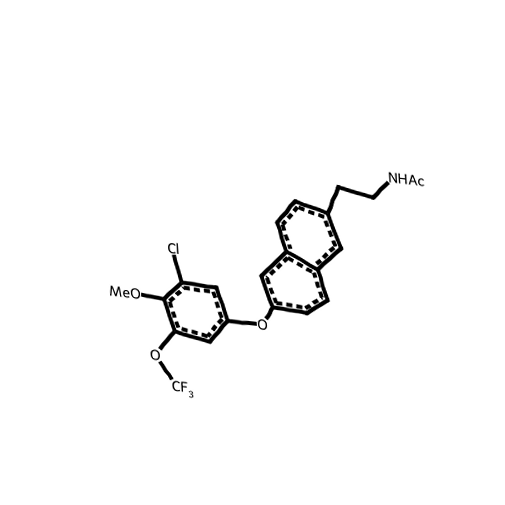 COc1c(Cl)cc(Oc2ccc3cc(CCNC(C)=O)ccc3c2)cc1OC(F)(F)F